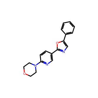 c1ccc(-c2cnc(-c3ccc(N4CCOCC4)nc3)o2)cc1